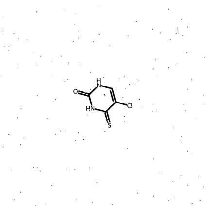 O=c1[nH]cc(Cl)c(=S)[nH]1